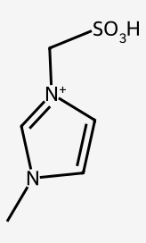 Cn1cc[n+](CS(=O)(=O)O)c1